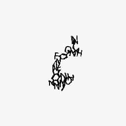 CCN1C(=O)Nc2c(F)c(CN3CCN(c4ccc(C(=O)NC5(CC#N)CC5)cc4F)CC3)cc3ncnc1c23